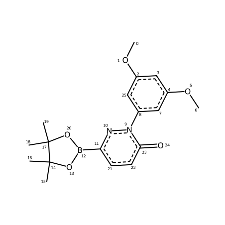 COc1cc(OC)cc(-n2nc(B3OC(C)(C)C(C)(C)O3)ccc2=O)c1